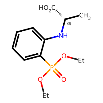 CCOP(=O)(OCC)c1ccccc1N[C@@H](C)C(=O)O